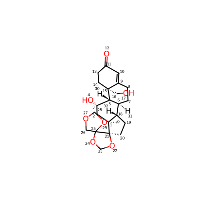 C[C@]12C[C@H](O)[C@H]3[C@@H](CCC4=CC(=O)CC[C@@]43CO)[C@@H]1CC[C@@]21OCOC12COCO2